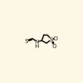 O=S1(=O)CCC(NC=S)C1